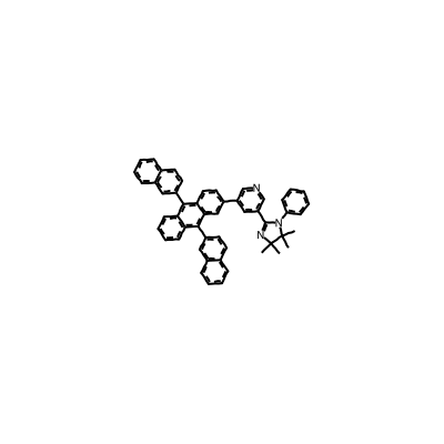 CC1(C)N=C(c2cncc(-c3ccc4c(-c5ccc6ccccc6c5)c5ccccc5c(-c5ccc6ccccc6c5)c4c3)c2)N(c2ccccc2)C1(C)C